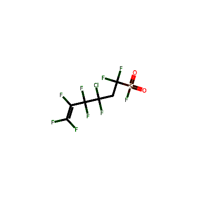 O=S(=O)(F)C(F)(F)CC(F)(Cl)C(F)(F)C(F)=C(F)F